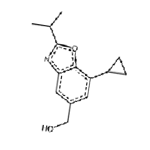 CC(C)c1nc2cc(CO)cc(C3CC3)c2o1